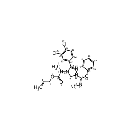 C=CCOC(=O)N(C)N1CN(/C(=N\C#N)Oc2ccccc2)N=C1c1ccc(Cl)c(Cl)c1